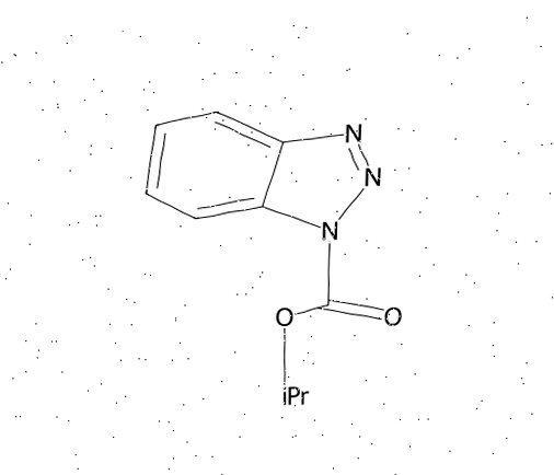 CC(C)OC(=O)n1nnc2ccccc21